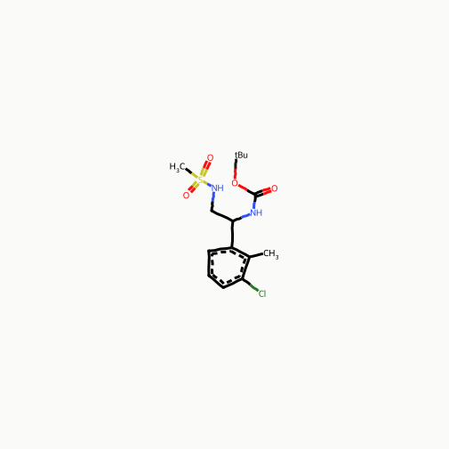 Cc1c(Cl)cccc1C(CNS(C)(=O)=O)NC(=O)OC(C)(C)C